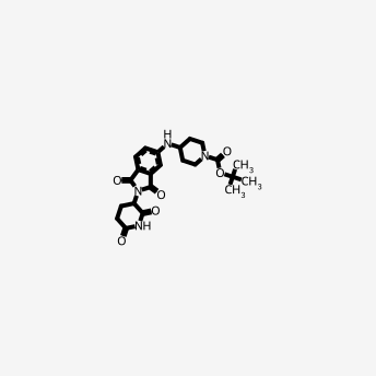 CC(C)(C)OC(=O)N1CCC(Nc2ccc3c(c2)C(=O)N(C2CCC(=O)NC2=O)C3=O)CC1